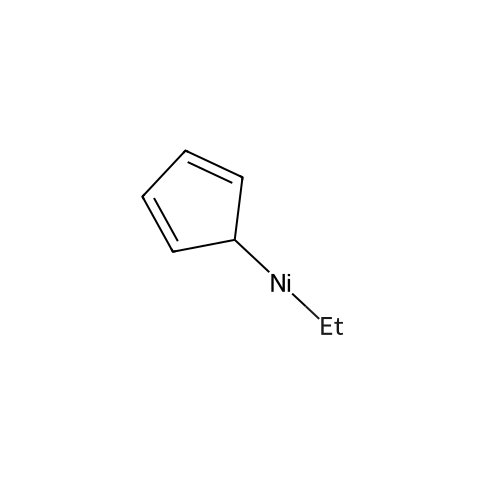 C[CH2][Ni][CH]1C=CC=C1